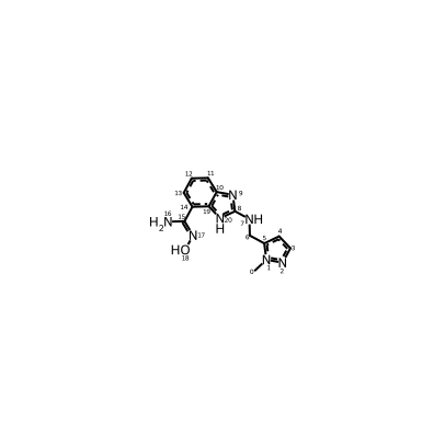 Cn1nccc1CNc1nc2cccc(C(N)=NO)c2[nH]1